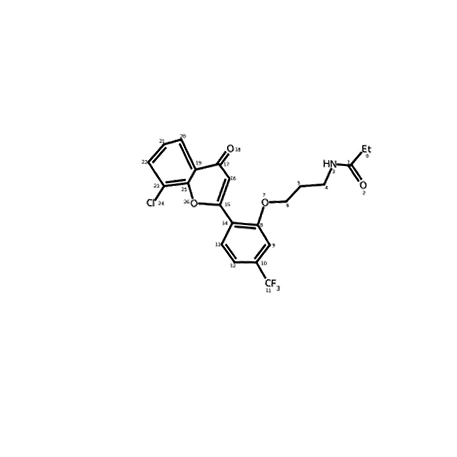 CCC(=O)NCCCOc1cc(C(F)(F)F)ccc1-c1cc(=O)c2cccc(Cl)c2o1